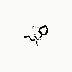 C=CCS(=O)(=O)Oc1ccccc1.[RbH]